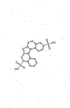 O=S(=O)(O)c1ccc2c(ccc3oc4cc(S(=O)(=O)O)c5ccccc5c4c32)c1